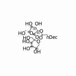 CCCCCCCCCCCC(=O)O[C@H]1[C@@H](OC2(CO)OC[C@@H](O)[C@@H](O)[C@@H]2O)O[C@H](CO)[C@@H](O)[C@@H]1O